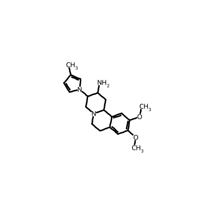 COc1cc2c(cc1OC)C1CC(N)C(n3ccc(C)c3)CN1CC2